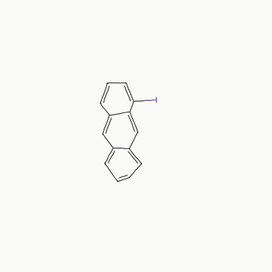 Ic1cccc2cc3ccccc3cc12